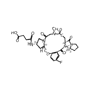 CN1CC(=O)N2C[C@@H](NC(=O)CCC(=O)O)C[C@H]2COc2ccc(F)cc2C(=O)N(C)[C@H](C(=O)N2CCCC2)CCC1=O